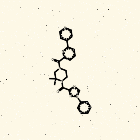 CC1(C)CN(C(=O)c2cccc(-c3ccncc3)n2)CCN1C(=O)c1ncn(-c2ccccc2)n1